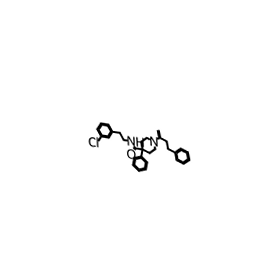 C=C(CCc1ccccc1)N1CCC(C(=O)NCCc2cccc(Cl)c2)(c2ccccc2)CC1